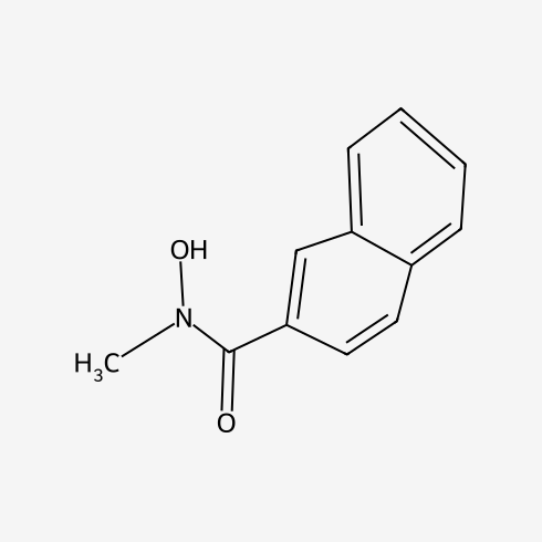 CN(O)C(=O)c1ccc2ccccc2c1